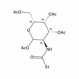 CCC(=O)N[C@H]1C(OC(C)=O)O[C@H](COC(C)=O)[C@H](OC(C)=O)[C@@H]1OC(C)=O